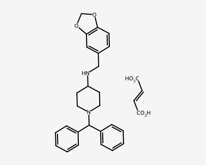 O=C(O)C=CC(=O)O.c1ccc(C(c2ccccc2)N2CCC(NCc3ccc4c(c3)OCO4)CC2)cc1